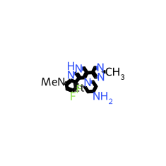 CC[C@@H]1C[C@@H](N)CCN1c1c(-c2cnc(C)nc2)cnc2[nH]c3c(NC)cc(F)c(F)c3c12